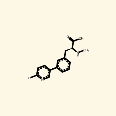 CN[C@@H](Cc1cccc(-c2ccc(Cl)nc2)c1)C(=O)O